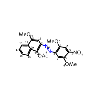 COc1cc([N+](=O)[O-])c(OC)cc1N=Nc1cc(OC)c2ccccc2c1OC(C)=O